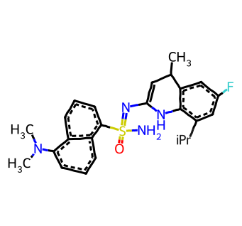 CC(C)c1cc(F)cc2c1NC(N=S(N)(=O)c1cccc3c(N(C)C)cccc13)=CC2C